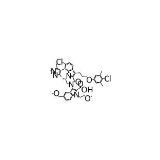 COCCn1c(C(=O)O)c(N2C[C@@H](C)n3c(c(CCCOc4cc(C)c(Cl)c(C)c4)c4ccc(Cl)c(-c5c(C)nn(C)c5C)c43)C2=O)c2cc(COC)ccc21